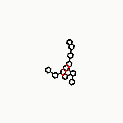 c1ccc(-c2cccc(-c3ccc(N(c4ccc(-c5ccc(-c6ccc7ccccc7c6)cc5)cc4)c4cccc(-c5ccccc5)c4-c4ccccc4-c4ccccc4)cc3)c2)cc1